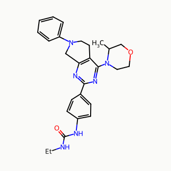 CCNC(=O)Nc1ccc(-c2nc3c(c(N4CCOCC4C)n2)CCN(c2ccccc2)C3)cc1